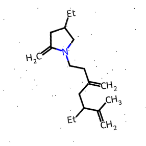 C=C(CCN1CC(CC)CC1=C)CC(CC)C(=C)C